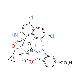 C[C@H]1Oc2c3ccc(C(=O)O)cc3nn2[C@H]2[C@@H]1N(CC1CC1)[C@]1(C(=O)Nc3cc(Cl)ccc31)[C@@H]2c1cccc(Cl)c1F